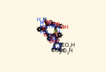 CC(O)C(CO)NC(=O)C1CSSCC(NC(=O)C(Cc2ccccc2)NC(=O)CN2CCN(CC(=O)O)CCN(CC(=O)O)CCN(CC(=O)O)CC2)C(=O)NC(Cc2ccc(O)cc2)C(=O)NC(Cc2c[nH]c3ccccc23)C(=O)NC(CCCCN)C(=O)NC(C(C)O)C(=O)N1